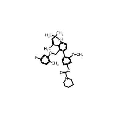 COc1cc(OC(=O)N2CCCCC2)ccc1-c1ccc2c(c1COc1cc(F)ccc1C)C(C)=CC(C)(C)N2